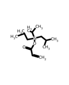 C=CC(=O)O[Si](CC(C)C)(CC(C)C)C(C)C